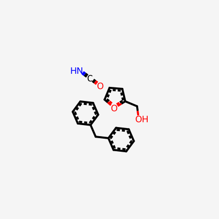 N=C=O.OCc1ccco1.c1ccc(Cc2ccccc2)cc1